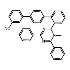 CN1C(c2ccccc2)=NC(c2ccccc2)=NC1c1ccccc1-c1ccc(-c2cccc(C#N)c2)cc1